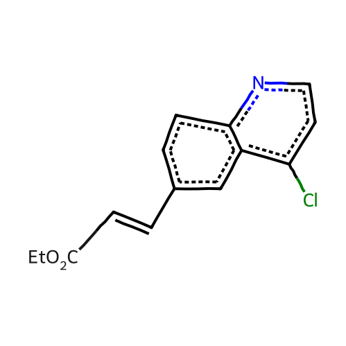 CCOC(=O)/C=C/c1ccc2nccc(Cl)c2c1